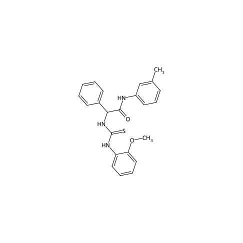 COc1ccccc1NC(=S)NC(C(=O)Nc1cccc(C)c1)c1ccccc1